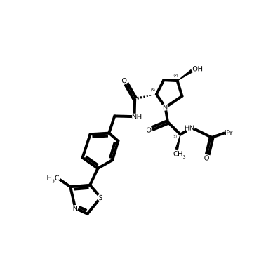 Cc1ncsc1-c1ccc(CNC(=O)[C@@H]2C[C@@H](O)CN2C(=O)[C@H](C)NC(=O)C(C)C)cc1